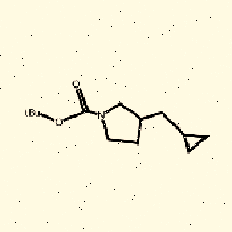 CC(C)(C)OC(=O)N1CCC(CC2CC2)C1